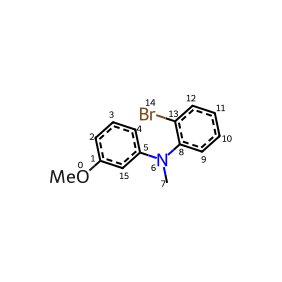 COc1cccc(N(C)c2ccccc2Br)c1